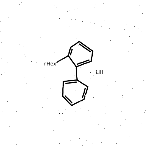 CCCCCCc1ccccc1-c1ccccc1.[LiH]